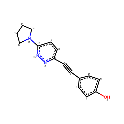 Oc1ccc(C#Cc2ccc(N3CCCC3)nn2)cc1